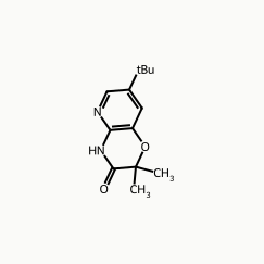 CC1(C)Oc2cc(C(C)(C)C)cnc2NC1=O